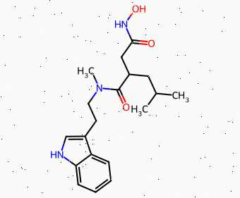 CC(C)CC(CC(=O)NO)C(=O)N(C)CCc1c[nH]c2ccccc12